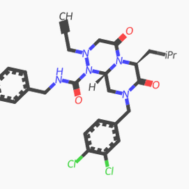 C#CCN1CC(=O)N2[C@@H](CC(C)C)C(=O)N(Cc3ccc(Cl)c(Cl)c3)C[C@@H]2N1C(=O)NCc1ccccc1